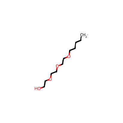 [CH2]CCCCOCCOCCOCCO